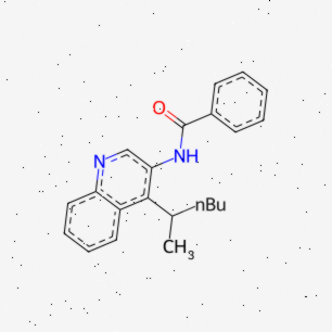 CCCCC(C)c1c(NC(=O)c2ccccc2)cnc2ccccc12